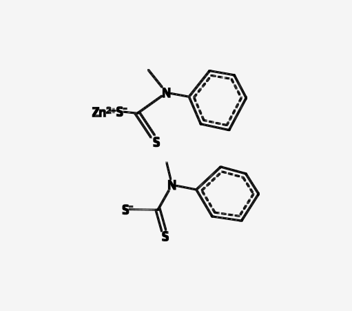 CN(C(=S)[S-])c1ccccc1.CN(C(=S)[S-])c1ccccc1.[Zn+2]